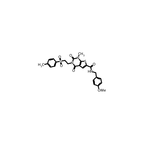 COc1ccc(CNC(=O)c2cc3c(=O)n(CCS(=O)(=O)c4ccc(C)cc4)c(=O)n(C)c3s2)cc1